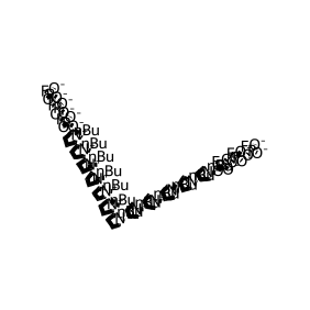 CCCC[N+]1(C)CCCC1.CCCC[N+]1(C)CCCC1.CCCC[N+]1(C)CCCC1.CCCC[N+]1(C)CCCC1.CCCC[N+]1(C)CCCC1.CCCC[N+]1(C)CCCC1.CCCC[N+]1(C)CCCC1.CCCC[N+]1(C)CCCC1.CCCC[N+]1(C)CCCC1.CCCC[N+]1(C)CCCC1.CCCC[N+]1(C)CCCC1.CCCC[N+]1(C)CCCC1.O=P([O-])([O-])F.O=P([O-])([O-])F.O=P([O-])([O-])F.O=P([O-])([O-])F.O=P([O-])([O-])F.O=P([O-])([O-])F